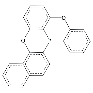 c1ccc2c(c1)Oc1cccc3c1P2c1ccc2ccccc2c1O3